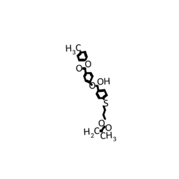 C=C(C)C(=O)OCCCCSc1ccc(C(O)Oc2ccc(C(=O)Oc3ccc(C)cc3)cc2)cc1